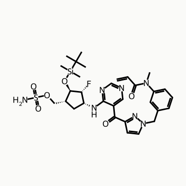 C=CC(=O)N(C)c1cccc(Cn2ccc(C(=O)c3cncnc3N[C@@H]3C[C@H](COS(N)(=O)=O)[C@@H](O[Si](C)(C)C(C)(C)C)[C@@H]3F)n2)c1